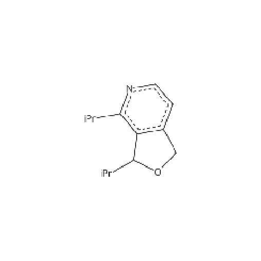 CC(C)c1nccc2c1C(C(C)C)OC2